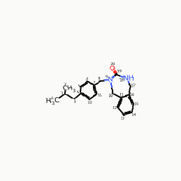 CC(C)Cc1ccc(CN2Cc3ccccc3CNC2=O)cc1